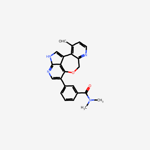 CN(C)C(=O)c1cccc(-c2cnc3[nH]cc4c3c2OCc2nccc(C=O)c2-4)c1